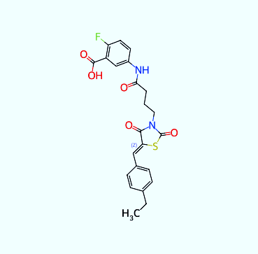 CCc1ccc(/C=C2\SC(=O)N(CCCC(=O)Nc3ccc(F)c(C(=O)O)c3)C2=O)cc1